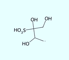 [CH2]C(O)C(O)(CO)S(=O)(=O)O